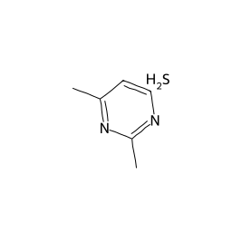 Cc1ccnc(C)n1.S